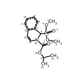 COP(=O)(OC)C1c2ccccc2C=CN1C(=O)OC(C)C